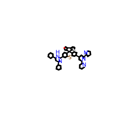 C1=C(c2ccccc2)NC(c2ccc3c(c2)Sc2cc(-c4cc(-c5ccccn5)nc(-c5ccccn5)c4)ccc2C32c3ccccc3-c3ccccc32)N=C1c1ccccc1